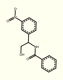 O=C(NC(CO)c1cccc([N+](=O)[O-])c1)c1ccccc1